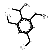 CCc1cc(CC)c(C(C)[O])c(CC)c1